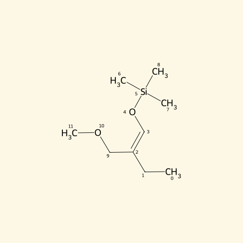 CCC(=CO[Si](C)(C)C)COC